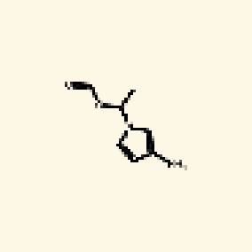 CC(OC=O)n1ccc(N)c1